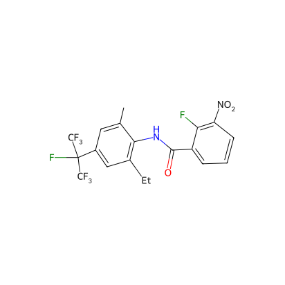 CCc1cc(C(F)(C(F)(F)F)C(F)(F)F)cc(C)c1NC(=O)c1cccc([N+](=O)[O-])c1F